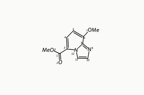 COC(=O)c1ccc(OC)c2nccn12